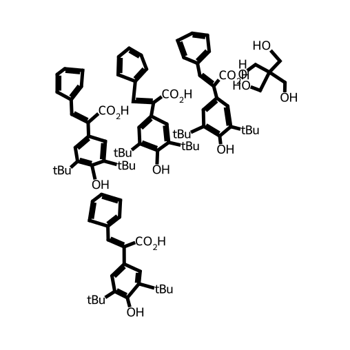 CC(C)(C)c1cc(C(=Cc2ccccc2)C(=O)O)cc(C(C)(C)C)c1O.CC(C)(C)c1cc(C(=Cc2ccccc2)C(=O)O)cc(C(C)(C)C)c1O.CC(C)(C)c1cc(C(=Cc2ccccc2)C(=O)O)cc(C(C)(C)C)c1O.CC(C)(C)c1cc(C(=Cc2ccccc2)C(=O)O)cc(C(C)(C)C)c1O.OCC(CO)(CO)CO